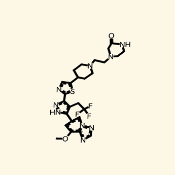 COc1cc(-c2[nH]nc(-c3ncc(C4CCN(CCN5CCNC(=O)C5)CC4)s3)c2CC(F)(F)F)cn2ncnc12